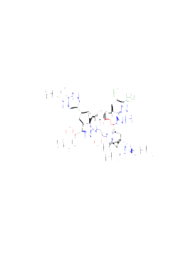 CC(=O)c1nn(CC(=O)N2[C@H](C(=O)Nc3nc(Br)c(F)cc3C)C[C@@]3(CN(C)C)C[C@@H]23)c2c(C)cc(-c3cnc(C)nc3)cc12